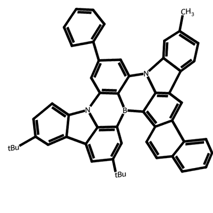 Cc1ccc2c3cc4c(ccc5ccccc54)c4c3n(c2c1)-c1cc(-c2ccccc2)cc2c1B4c1cc(C(C)(C)C)cc3c4cc(C(C)(C)C)ccc4n-2c13